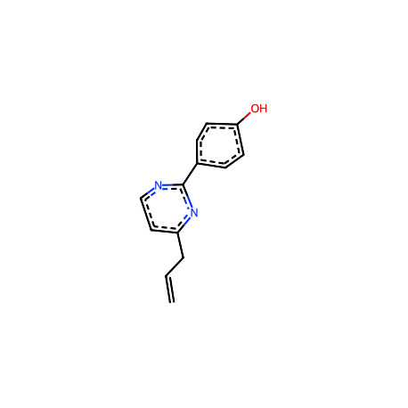 C=CCc1ccnc(-c2ccc(O)cc2)n1